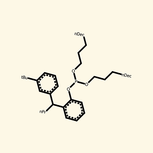 CCCCCCCCCCCCCOP(OCCCCCCCCCCCCC)Oc1ccccc1C(CCC)c1cccc(C(C)(C)C)c1